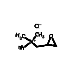 CCC[N+](C)(C)CC1CO1.[Cl-]